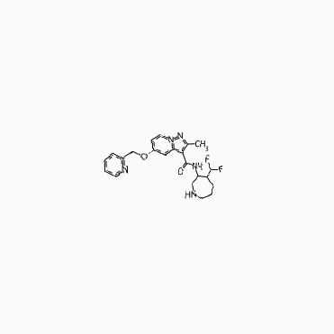 Cc1nn2ccc(OCc3ccccn3)cc2c1C(=O)NC1CNCCCC1C(F)F